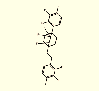 Cc1ccc(CCC23CCC(c4ccc(C)c(F)c4F)(CC2)C(F)(F)C3F)c(F)c1F